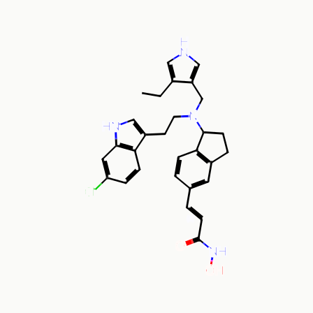 CCc1c[nH]cc1CN(CCc1c[nH]c2cc(Cl)ccc12)C1CCc2cc(/C=C/C(=O)NO)ccc21